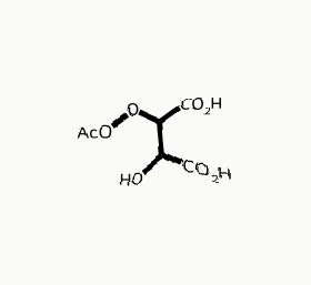 CC(=O)OOC(C(=O)O)C(O)C(=O)O